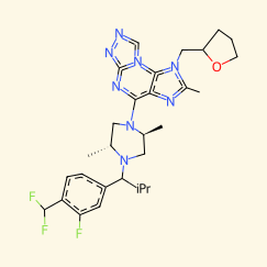 Cc1nc2c(N3C[C@@H](C)N(C(c4ccc(C(F)F)c(F)c4)C(C)C)C[C@@H]3C)nc3nncn3c2n1CC1CCCO1